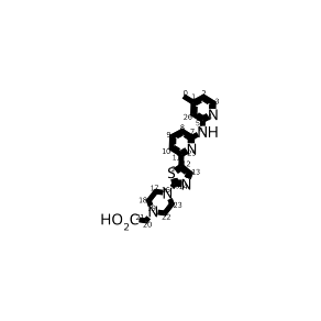 Cc1ccnc(Nc2cccc(-c3cnc(N4CCN(CC(=O)O)CC4)s3)n2)c1